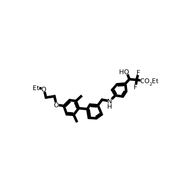 CCOCCOc1cc(C)c(-c2cccc(CNc3ccc(C(O)C(F)(F)C(=O)OCC)cc3)c2)c(C)c1